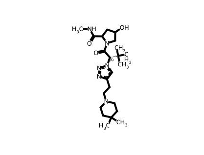 CNC(=O)C1CC(O)CN1C(=O)[C@@H](n1cc(CCN2CCC(C)(C)CC2)nn1)C(C)(C)C